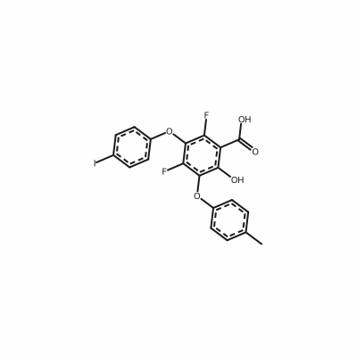 Cc1ccc(Oc2c(O)c(C(=O)O)c(F)c(Oc3ccc(I)cc3)c2F)cc1